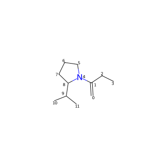 C=C(CC)N1CCCC1C(C)C